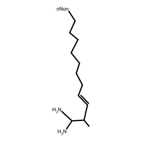 CCCCCCCCCCCCCCCCC=CC(C)C(N)N